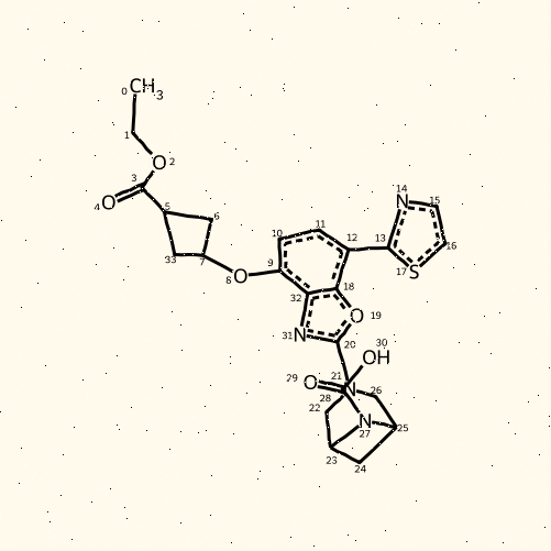 CCOC(=O)C1CC(Oc2ccc(-c3nccs3)c3oc(N4CC5CC(C4)N5C(=O)O)nc23)C1